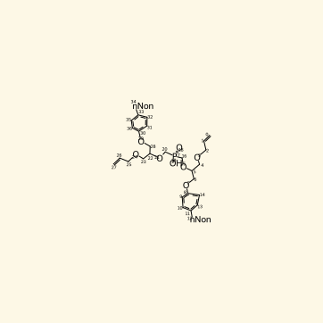 C=CCOCC(COc1ccc(CCCCCCCCC)cc1)OCP(=O)(O)COC(COCC=C)COc1ccc(CCCCCCCCC)cc1